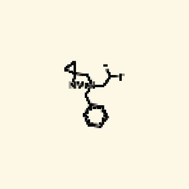 CNC1(CN(Cc2ccccc2)CC(F)F)CC1